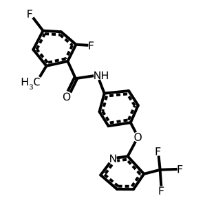 Cc1cc(F)cc(F)c1C(=O)Nc1ccc(Oc2ncccc2C(F)(F)F)cc1